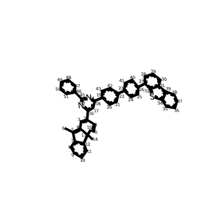 C=C/C(=C\C1=C(C)c2ccccc2C1(C)C)c1cc(-c2ccc(-c3ccc(-c4cccc5c4sc4ccccc45)cc3)cc2)nc(-c2ccccc2)n1